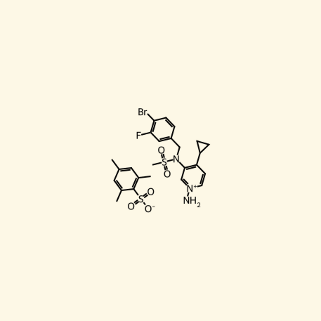 CS(=O)(=O)N(Cc1ccc(Br)c(F)c1)c1c[n+](N)ccc1C1CC1.Cc1cc(C)c(S(=O)(=O)[O-])c(C)c1